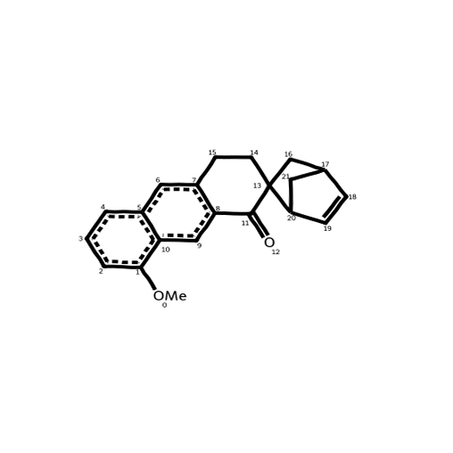 COc1cccc2cc3c(cc12)C(=O)C1(CC3)CC2C=CC1C2